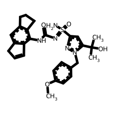 COc1ccc(Cn2nc(S(N)(=O)=NC(=O)Nc3c4c(cc5c3CCC5)CC=C4)cc2C(C)(C)O)cc1